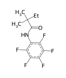 CCC(C)(C)C(=O)Nc1c(F)c(F)c(F)c(F)c1F